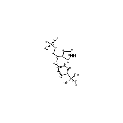 CS(=O)(=O)CCC(Oc1ccc(C(F)(F)F)cc1)[C@H]1CCNC1